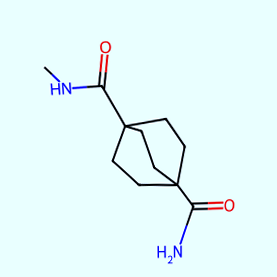 CNC(=O)C12CCC(C(N)=O)(CC1)CC2